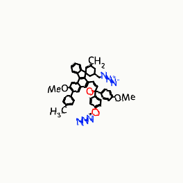 C=C1CC(CN=[N+]=[N-])CC2(C1)c1ccccc1-c1c2c2c(c3cc(-c4ccc(C)cc4)c(OC)cc13)OC(c1ccc(OC)cc1)(c1ccc(OCN=[N+]=[N-])cc1)C=C2